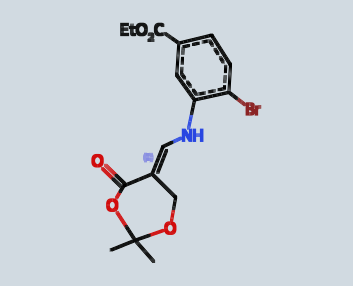 CCOC(=O)c1ccc(Br)c(N/C=C2\COC(C)(C)OC2=O)c1